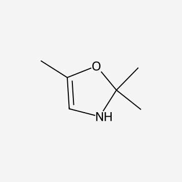 CC1=CNC(C)(C)O1